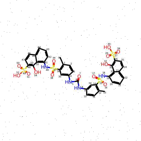 Cc1ccc(NC(=O)Nc2ccc(C)c(S(=O)(=O)Nc3cccc4ccc(S(=O)(=O)O)c(O)c34)c2)cc1S(=O)(=O)Nc1cccc2ccc(S(=O)(=O)O)c(O)c12